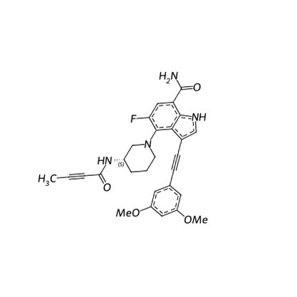 CC#CC(=O)N[C@H]1CCCN(c2c(F)cc(C(N)=O)c3[nH]cc(C#Cc4cc(OC)cc(OC)c4)c23)C1